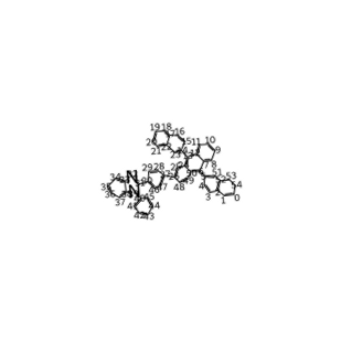 C1=Cc2ccc(-c3c4ccccc4c(-c4ccc5ccccc5c4)c4cc(-c5ccc(-c6nc7ccccc7n6-c6ccccc6)cc5)ccc34)cc2CC1